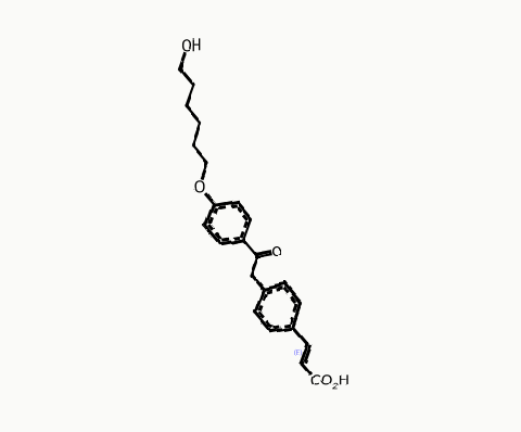 O=C(O)/C=C/c1ccc(CC(=O)c2ccc(OCCCCCCO)cc2)cc1